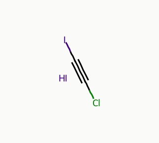 ClC#CI.I